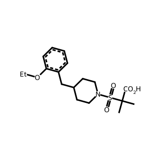 CCOc1ccccc1CC1CCN(S(=O)(=O)C(C)(C)C(=O)O)CC1